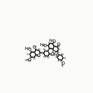 COc1ccc(-c2cc(=O)c3c(O)cc(O)c(-c4cc(-c5cc(=O)c6c(O)cc(OC)cc6o5)ccc4O)c3o2)cc1